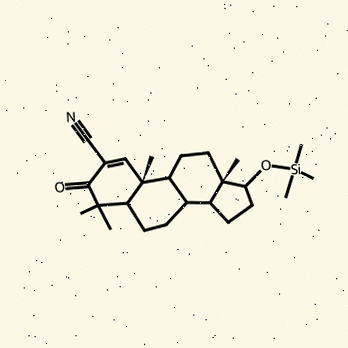 CC1(C)C(=O)C(C#N)=C[C@]2(C)C3CC[C@]4(C)C(O[Si](C)(C)C)CCC4C3CCC12